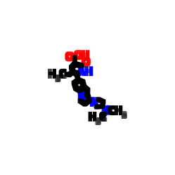 CCc1cc(C(=O)O)c(=O)[nH]c1-c1ccc2c(c1)cc1n2CCC1N1CCC(N(C)C)C1